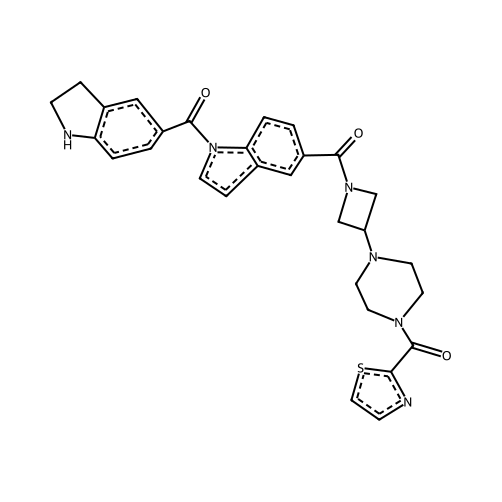 O=C(c1ccc2c(ccn2C(=O)c2ccc3c(c2)CCN3)c1)N1CC(N2CCN(C(=O)c3nccs3)CC2)C1